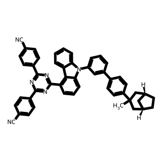 CC1(c2ccc(-c3cccc(-n4c5ccccc5c5c(-c6nc(-c7ccc(C#N)cc7)nc(-c7ccc(C#N)cc7)n6)cccc54)c3)cc2)C[C@@H]2CC[C@@H](C2)C1